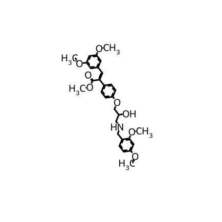 COC(=O)C(=Cc1cc(OC)cc(OC)c1)c1ccc(OCC(O)CNCc2ccc(OC)cc2OC)cc1